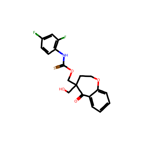 O=C1c2ccccc2OCCC1(CO)COC(=S)Nc1ccc(F)cc1F